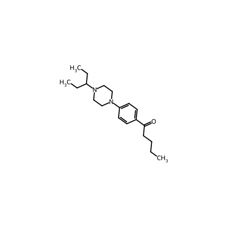 CCCCC(=O)c1ccc(N2CCN(C(CC)CC)CC2)cc1